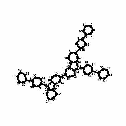 c1ccc(-c2ccc(-c3ccc4c5cc(-c6ccc7c(c6)c6ccccc6n7-c6ccc(-c7ccccc7)cc6)ccc5n(-c5ccc(-c6ccccc6)cc5)c4c3)cc2)cc1